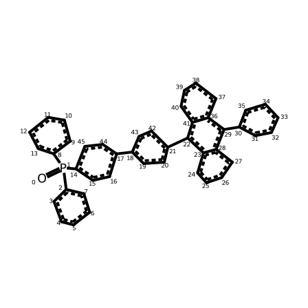 O=P(c1ccccc1)(c1ccccc1)c1ccc(-c2ccc(-c3c4ccccc4c(-c4ccccc4)c4ccccc34)cc2)cc1